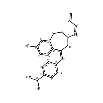 C=C/C=N\C1CCc2cc(F)ccc2/C(=C\c2ccc(C(F)F)cc2)C1